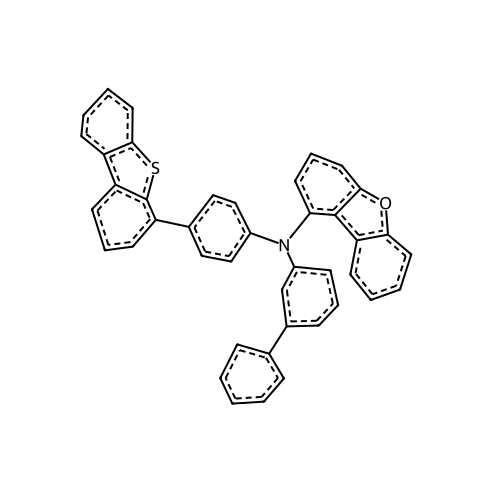 c1ccc(-c2cccc(N(c3ccc(-c4cccc5c4sc4ccccc45)cc3)c3cccc4oc5ccccc5c34)c2)cc1